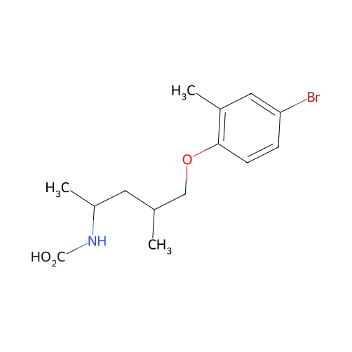 Cc1cc(Br)ccc1OCC(C)CC(C)NC(=O)O